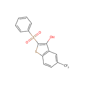 O=S(=O)(c1ccccc1)c1sc2ccc(C(F)(F)F)cc2c1O